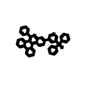 O=P(c1ccccc1)(c1ccccc1)c1cncc(-c2ccc3c(c2)nc(-c2ccccc2)c2c4ccccc4c4ccccc4c32)c1